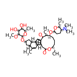 CC[C@H]1CCC[C@H](O[C@H]2CC[C@H](N(C)C)[C@@H](C)O2)[C@@H](C)C(=O)C2=C[C@@H]3[C@@H](C=C(C)[C@@H]4C[C@H](O[C@@H]5O[C@@H](C)[C@H](O)[C@@H](O)[C@H]5OC)C[C@@H]34)[C@@H]2CC(=O)O1